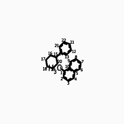 Cc1cccc2ccccc12.c1ccc(C2CCCCC2)cc1